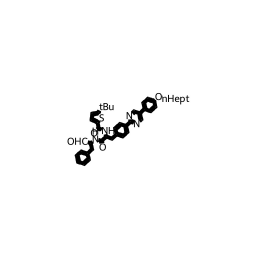 CCCCCCCOc1ccc(-c2cnc(-c3ccc(CC(NC(=O)c4ccc(C(C)(C)C)s4)C(=O)NC(C=O)Cc4ccccc4)cc3)nc2)cc1